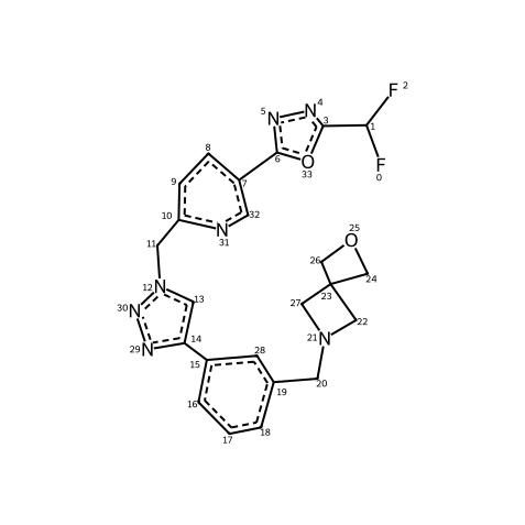 FC(F)c1nnc(-c2ccc(Cn3cc(-c4cccc(CN5CC6(COC6)C5)c4)nn3)nc2)o1